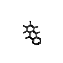 Cc1c(C)c(C)c2c(C)c3ccccc3c(C)c2c1C